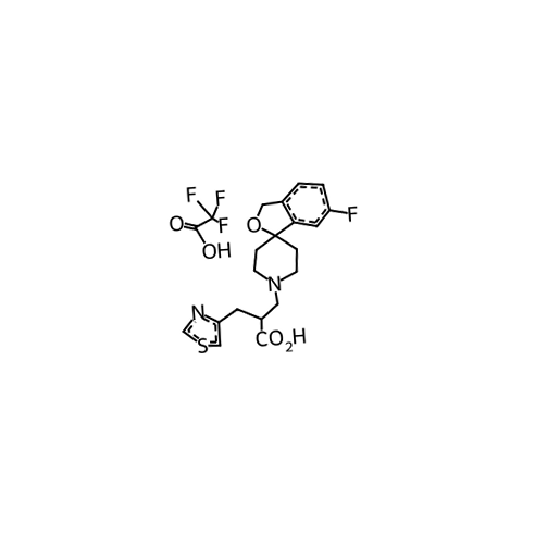 O=C(O)C(Cc1cscn1)CN1CCC2(CC1)OCc1ccc(F)cc12.O=C(O)C(F)(F)F